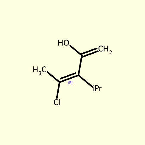 C=C(O)/C(=C(\C)Cl)C(C)C